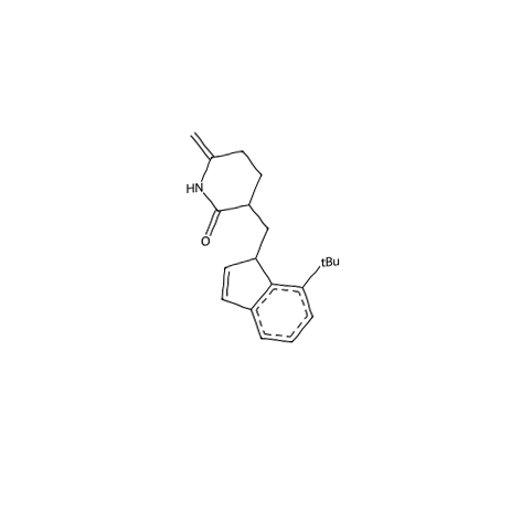 C=C1CCC(CC2C=Cc3cccc(C(C)(C)C)c32)C(=O)N1